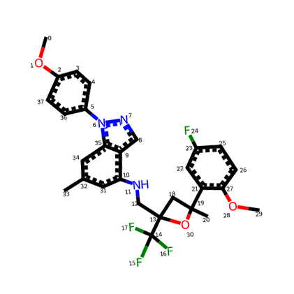 COc1ccc(-n2ncc3c(NCC4(C(F)(F)F)CC(C)(c5cc(F)ccc5OC)O4)cc(C)cc32)cc1